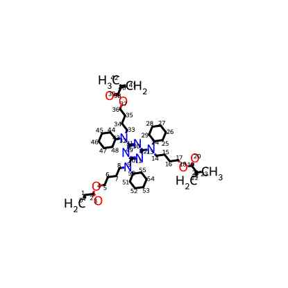 C=CC(=O)OCCCCN(c1nc(N(CCCCOC(=O)C(=C)C)C2CCCCC2)nc(N(CCCCOC(=O)C(=C)C)C2CCCCC2)n1)C1CCCCC1